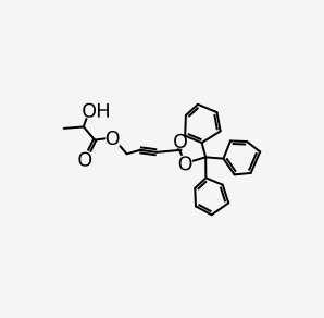 CC(O)C(=O)OCC#CC(=O)OC(c1ccccc1)(c1ccccc1)c1ccccc1